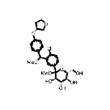 COC(c1ccc(O[C@@H]2CCOC2)cc1)c1cc(C2(OC)O[C@H](CO)[C@@H](O)[C@H](O)[C@H]2O)ccc1Cl